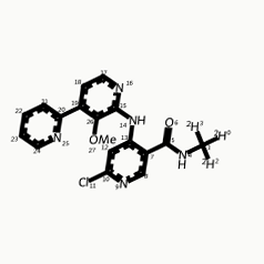 [2H]C([2H])([2H])NC(=O)c1cnc(Cl)cc1Nc1nccc(-c2ccccn2)c1OC